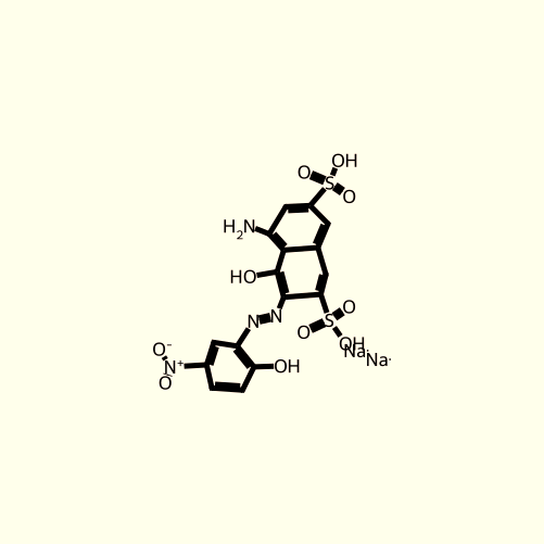 Nc1cc(S(=O)(=O)O)cc2cc(S(=O)(=O)O)c(N=Nc3cc([N+](=O)[O-])ccc3O)c(O)c12.[Na].[Na]